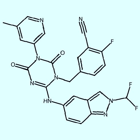 Cc1cncc(-n2c(=O)nc(Nc3ccc4nn(C(F)F)cc4c3)n(Cc3ccc(F)c(C#N)c3)c2=O)c1